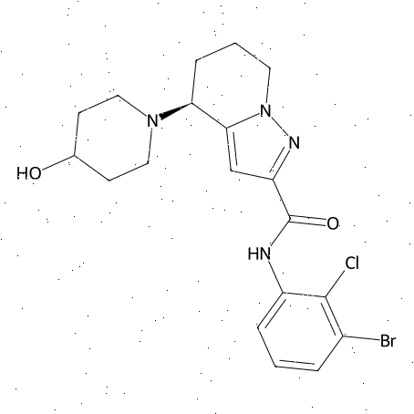 O=C(Nc1cccc(Br)c1Cl)c1cc2n(n1)CCC[C@@H]2N1CCC(O)CC1